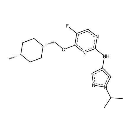 CC(C)n1cc(Nc2ncc(F)c(OC[C@H]3CC[C@@H](C)CC3)n2)cn1